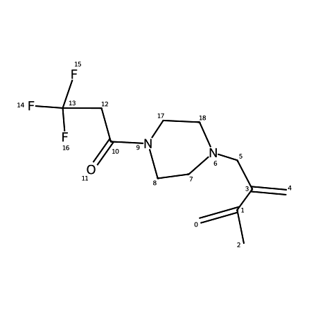 C=C(C)C(=C)CN1CCN(C(=O)CC(F)(F)F)CC1